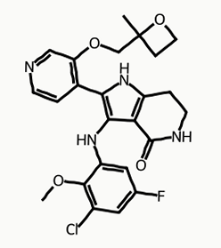 COc1c(Cl)cc(F)cc1Nc1c(-c2ccncc2OCC2(C)CCO2)[nH]c2c1C(=O)NCC2